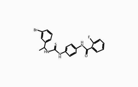 CC(NC(=S)Nc1ccc(NC(=O)c2ccccc2F)cc1)c1cccc(Br)c1